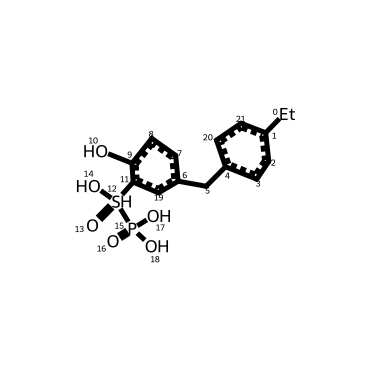 CCc1ccc(Cc2ccc(O)c([SH](=O)(O)P(=O)(O)O)c2)cc1